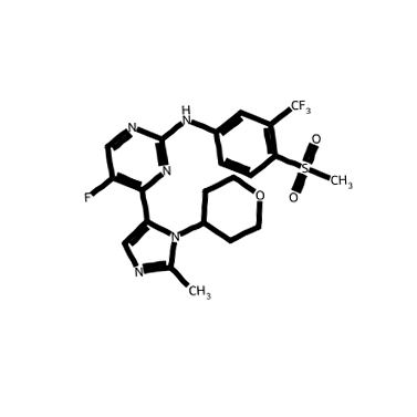 Cc1ncc(-c2nc(Nc3ccc(S(C)(=O)=O)c(C(F)(F)F)c3)ncc2F)n1C1CCOCC1